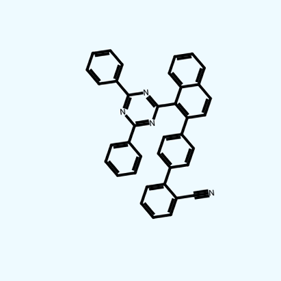 N#Cc1ccccc1-c1ccc(-c2ccc3ccccc3c2-c2nc(-c3ccccc3)nc(-c3ccccc3)n2)cc1